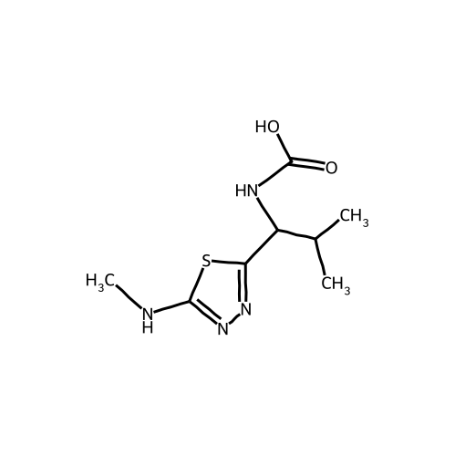 CNc1nnc(C(NC(=O)O)C(C)C)s1